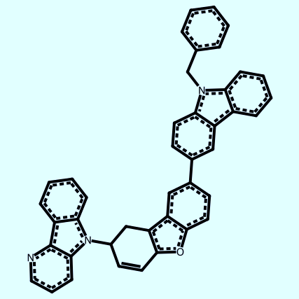 C1=CC(n2c3ccccc3c3ncccc32)Cc2c1oc1ccc(-c3ccc4c(c3)c3ccccc3n4Cc3ccccc3)cc21